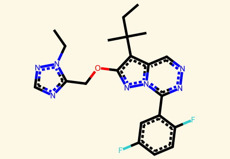 CCn1ncnc1COc1nn2c(-c3cc(F)ccc3F)nncc2c1C(C)(C)CC